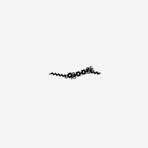 CCCCCCCCCCOc1ccc(OC(=O)c2ccc(-c3ccc(C(=O)OC(CCCCCC)C(F)(F)F)cc3)cc2)c(F)c1